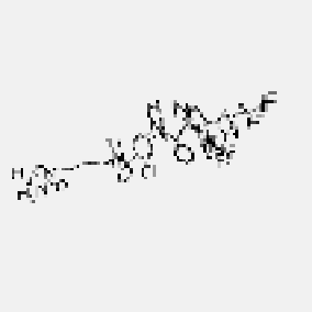 CN(CCCCNC(=O)c1ccc(NC(=O)c2ncc(-c3cn(C4CC4(F)F)nc3C(F)(F)F)n2C)cc1Cl)C(N)=O